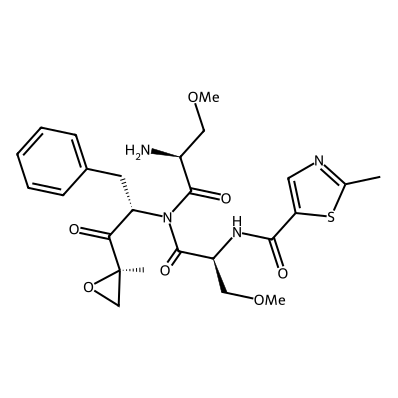 COC[C@H](NC(=O)c1cnc(C)s1)C(=O)N(C(=O)[C@@H](N)COC)[C@@H](Cc1ccccc1)C(=O)[C@@]1(C)CO1